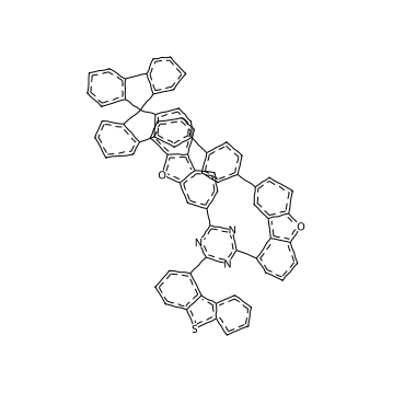 c1ccc2c(c1)-c1ccccc1C21c2ccccc2-c2cc(-c3ccc(-c4ccc5oc6cccc(-c7nc(-c8ccc9c(c8)oc8ccccc89)nc(-c8cccc9sc%10ccccc%10c89)n7)c6c5c4)cc3)ccc21